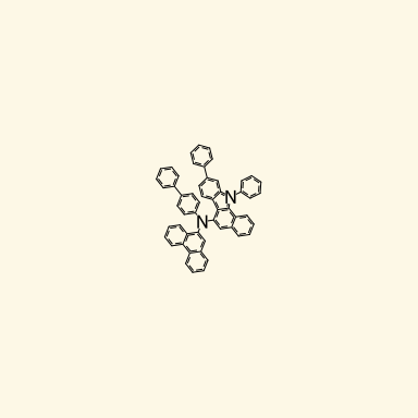 c1ccc(-c2ccc(N(c3cc4ccccc4c4ccccc34)c3cc4ccccc4c4c3c3ccc(-c5ccccc5)cc3n4-c3ccccc3)cc2)cc1